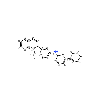 CC1(C)c2ccc(Nc3cccc(-c4ccccc4)c3)cc2-c2ccc3ccccc3c21